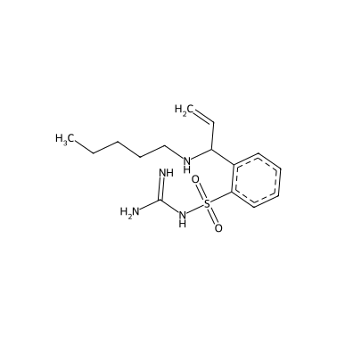 C=CC(NCCCCC)c1ccccc1S(=O)(=O)NC(=N)N